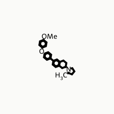 COc1ccc(Oc2ccc(-c3ccc4c(c3)CCC(N3CCCC3C)C4)cc2)cc1